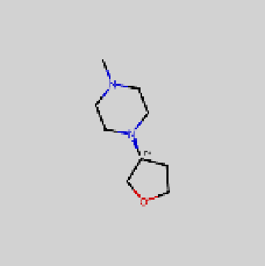 CN1CCN([C@H]2CCOC2)CC1